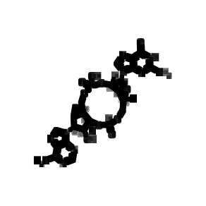 Nc1nc2c(ncn2[C@@H]2O[C@@H]3CO[PH](=O)O[C@H]4[C@@H](O)[C@H](n5cnc6c(N)ncnc65)C5C[C@]54COP(=O)(O)O[C@@H]2[C@@H]3F)c(=O)[nH]1